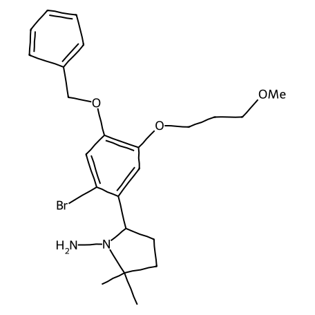 COCCCOc1cc(C2CCC(C)(C)N2N)c(Br)cc1OCc1ccccc1